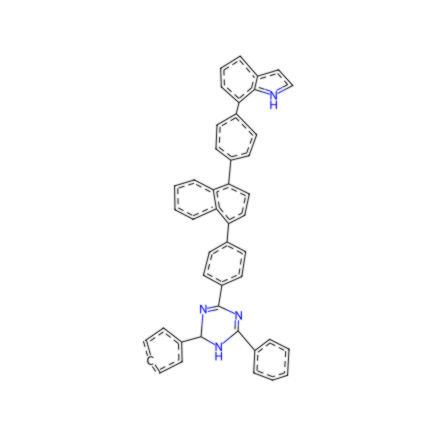 c1ccc(C2=NC(c3ccc(-c4ccc(-c5ccc(-c6cccc7cc[nH]c67)cc5)c5ccccc45)cc3)=NC(c3ccccc3)N2)cc1